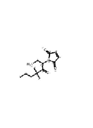 CCCC(C)(C)C(=O)C(CN)N1C(=O)C=CC1=O